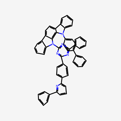 c1ccc(-c2ccc(-n3c4ccccc4c4ccc5c6ccccc6n(-c6nc(-c7ccccc7)nc(-c7ccc(-c8cccc(-c9ccccc9)n8)cc7)n6)c5c43)cc2)cc1